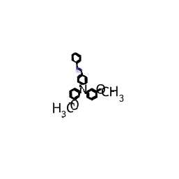 COc1cccc(N(c2ccc(/C=C/c3ccccc3)cc2)c2cccc(OC)c2)c1